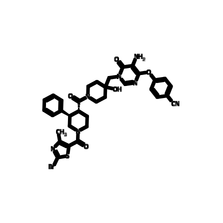 Cc1nc(Br)sc1C(=O)N1CC[C@@H](C(=O)N2CCC(O)(Cn3cnc(Oc4ccc(C#N)cc4)c(N)c3=O)CC2)[C@H](c2ccccc2)C1